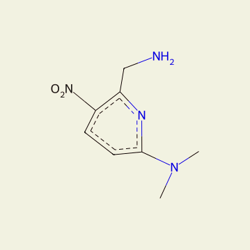 CN(C)c1ccc([N+](=O)[O-])c(CN)n1